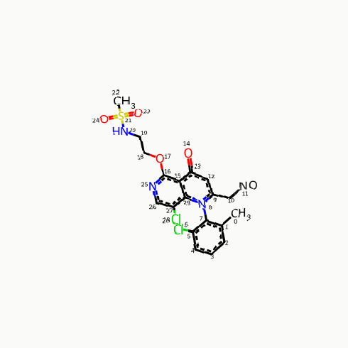 Cc1cccc(Cl)c1-n1c(CN=O)cc(=O)c2c(OCCNS(C)(=O)=O)ncc(Cl)c21